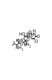 BC(B)(OC(=O)[C@@H](N)C(C)C)[C@]1(F)C[C@@H](O)[C@](B)(n2cc(Cl)c(=O)[nH]c2=O)O1